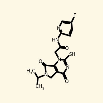 CC(C)N1Cc2c(n(CC(=O)Nc3ccc(F)cn3)c(S)nc2=O)C1=O